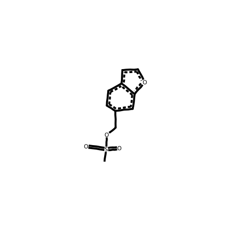 CS(=O)(=O)OCc1ccc2ccoc2c1